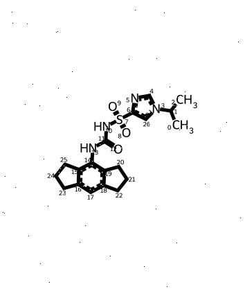 CC(C)n1cnc(S(=O)(=O)NC(=O)Nc2c3c(cc4c2CCC4)CCC3)c1